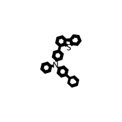 C1=CCC(c2ccc(N(c3ccccc3)c3ccc(-c4cccc5c4sc4ccccc45)cc3)cc2)C=C1